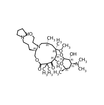 CO[C@]1(C)C[C@@H](C)CN(CCO)[C@H](CCCN2CCCC2)COC(=O)C(C)(C)C(=O)[C@H](C)[C@H]1O[C@@H]1O[C@H](C)C[C@H](N(C)C)[C@H]1O